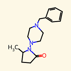 CC1CCC(=O)N1N1CCN(Cc2ccccc2)CC1